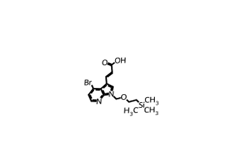 C[Si](C)(C)CCOCn1cc(/C=C/C(=O)O)c2c(Br)ccnc21